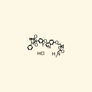 Cl.NCC(=O)OC1(CCOc2ccc3c(Oc4ccc(N(C(=O)Nc5ccccc5)C(=O)C5CC5)cc4F)ccnc3c2)CC1